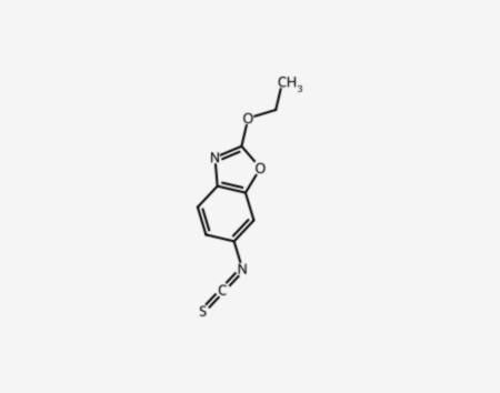 CCOc1nc2ccc(N=C=S)cc2o1